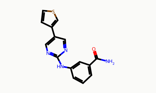 NC(=O)c1cccc(Nc2ncc(-c3ccsc3)cn2)c1